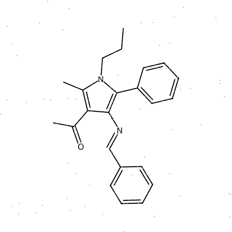 CCCn1c(C)c(C(C)=O)c(N=Cc2ccccc2)c1-c1ccccc1